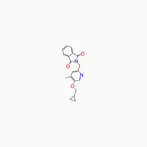 Cc1cc(CN2C(=O)c3ccccc3C2=O)ncc1OCC1CC1